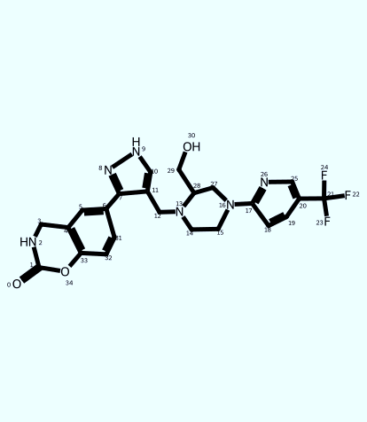 O=C1NCc2cc(-c3n[nH]cc3CN3CCN(c4ccc(C(F)(F)F)cn4)CC3CO)ccc2O1